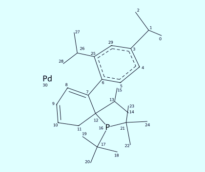 CC(C)c1ccc(C2=CC=CCC2(C(C)C)P(C(C)(C)C)C(C)(C)C)c(C(C)C)c1.[Pd]